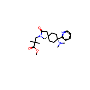 COC(=O)C(C)(C)CN1C[C@]2(CC[C@@](c3ccccn3)(N(C)C)CC2)CC1=O